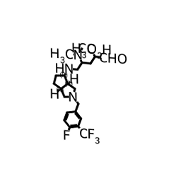 CC(C=O)CC(CN[C@@H]1CC[C@H]2CN(Cc3ccc(F)c(C(F)(F)F)c3)C[C@H]21)N(C)C(=O)O